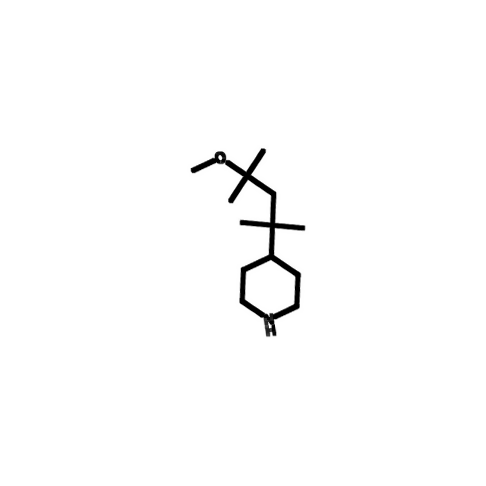 COC(C)(C)CC(C)(C)C1CCNCC1